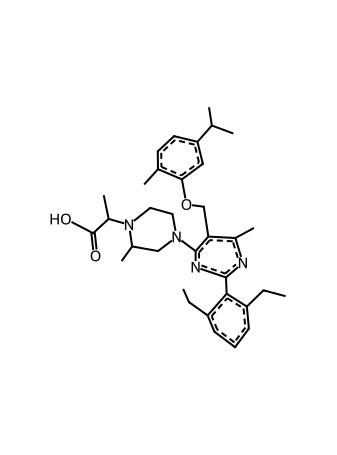 CCc1cccc(CC)c1-c1nc(C)c(COc2cc(C(C)C)ccc2C)c(N2CCN(C(C)C(=O)O)C(C)C2)n1